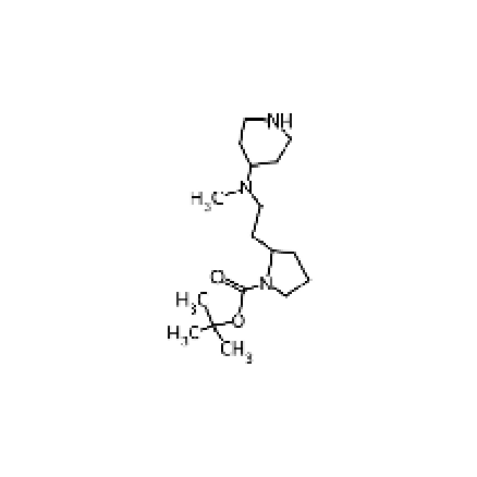 CN(CCC1CCCN1C(=O)OC(C)(C)C)C1CCNCC1